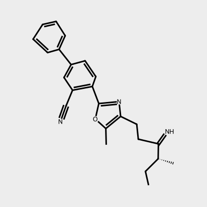 CC[C@@H](C)C(=N)CCc1nc(-c2ccc(-c3ccccc3)cc2C#N)oc1C